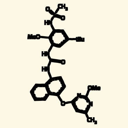 COc1nc(C)cc(Oc2ccc(NC(=O)Nc3cc(C(C)(C)C)cc(NS(C)(=O)=O)c3OC)c3ccccc23)n1